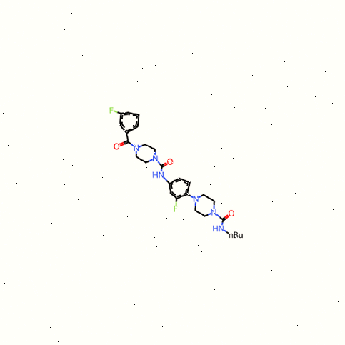 CCCCNC(=O)N1CCN(c2ccc(NC(=O)N3CCN(C(=O)c4cccc(F)c4)CC3)cc2F)CC1